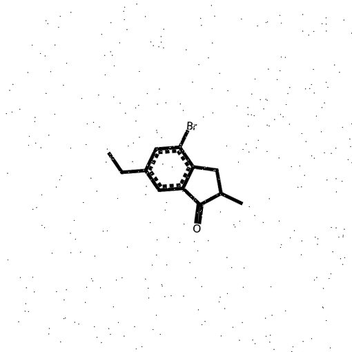 CCc1cc(Br)c2c(c1)C(=O)C(C)C2